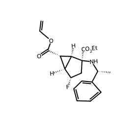 C=COC(=O)[C@H]1[C@H]2[C@@H]1[C@](N[C@H](C)c1ccccc1)(C(=O)OCC)C[C@@H]2F